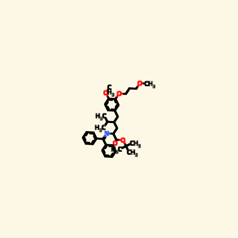 COCCCOc1cc(CC(CC(N=C(c2ccccc2)c2ccccc2)C(=O)OC(C)(C)C)C(C)C)ccc1OC